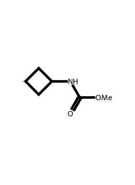 COC(=O)NC1C[CH]C1